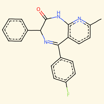 Cc1ccc2c(n1)NC(=O)C(c1ccccc1)N=C2c1ccc(F)cc1